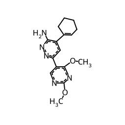 COc1ncc(-c2cc(C3=CCCCC3)c(N)nn2)c(OC)n1